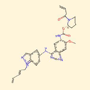 C=CC=CCn1ncc2cc(Nc3ncnc4cc(OC)c(NC(=O)O[C@H]5CCCN5C(=O)C=C)cc34)ccc21